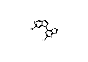 Clc1nc(-n2ccc3cnc(Br)cc32)c2sccc2n1